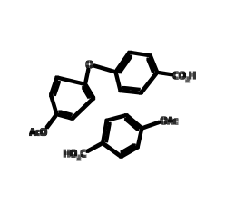 CC(=O)Oc1ccc(C(=O)O)cc1.CC(=O)Oc1ccc(Oc2ccc(C(=O)O)cc2)cc1